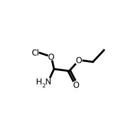 CCOC(=O)C(N)OCl